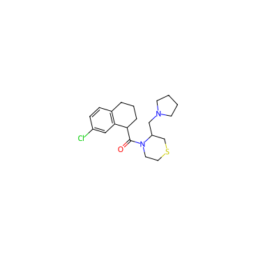 O=C(C1CCCc2ccc(Cl)cc21)N1CCSCC1CN1CCCC1